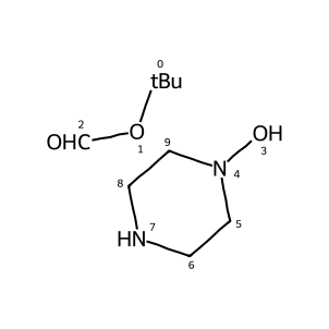 CC(C)(C)OC=O.ON1CCNCC1